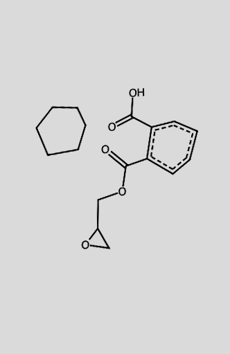 C1CCCCC1.O=C(O)c1ccccc1C(=O)OCC1CO1